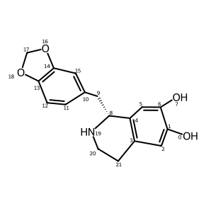 Oc1cc2c(cc1O)[C@@H](Cc1ccc3c(c1)OCO3)NCC2